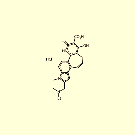 CCN(C)Cc1cc2c3c(ccc2n1C)-c1[nH]c(=O)c(C(=O)O)c(O)c1CC=C3.Cl